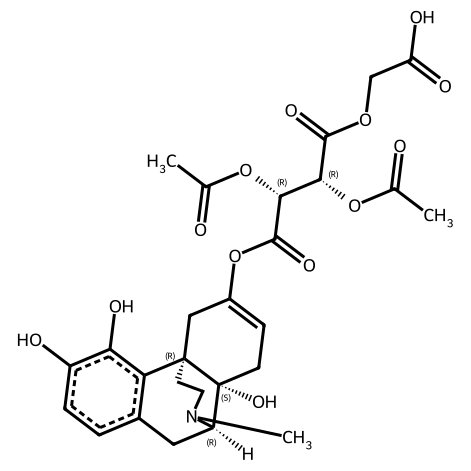 CC(=O)O[C@@H](C(=O)OCC(=O)O)[C@@H](OC(C)=O)C(=O)OC1=CC[C@@]2(O)[C@H]3Cc4ccc(O)c(O)c4[C@@]2(CCN3C)C1